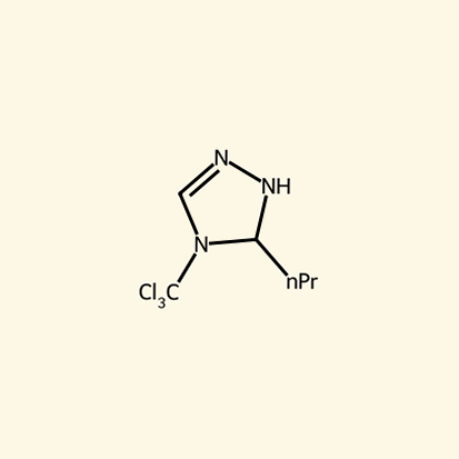 CCCC1NN=CN1C(Cl)(Cl)Cl